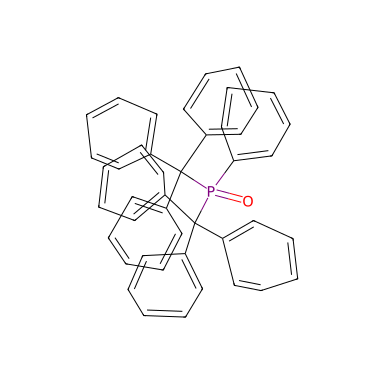 O=P(c1ccccc1)(C(c1ccccc1)(c1ccccc1)c1ccccc1)C(c1ccccc1)(c1ccccc1)c1ccccc1